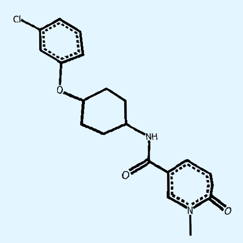 Cn1cc(C(=O)NC2CCC(Oc3cccc(Cl)c3)CC2)ccc1=O